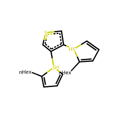 CCCCCCC1=CC=C[SH]1c1cscc1[SH]1C=CC=C1CCCCCC